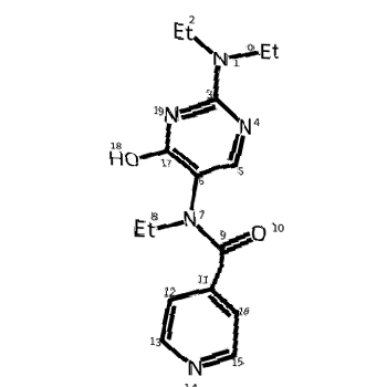 CCN(CC)c1ncc(N(CC)C(=O)c2ccncc2)c(O)n1